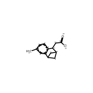 Cc1ccc2c(c1)C1CC(C1)C2CC(=O)Cl